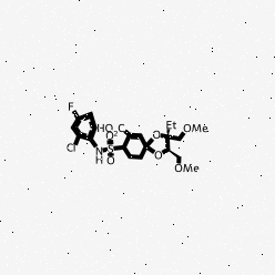 CC[C@]1(COC)OC2(C=C(C(=O)O)C(S(=O)(=O)Nc3ccc(F)cc3Cl)CC2)O[C@@H]1COC